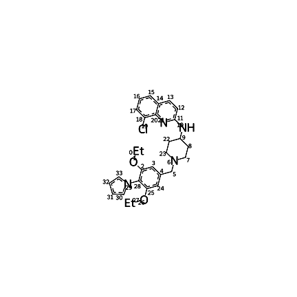 CCOc1cc(CN2CCC(Nc3ccc4cccc(Cl)c4n3)CC2)cc(OCC)c1-n1cccc1